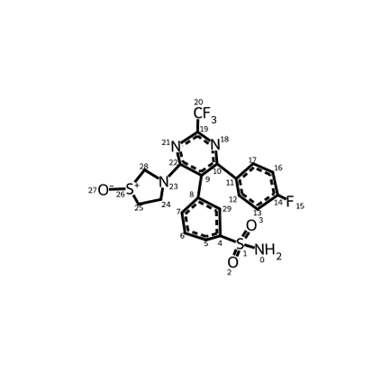 NS(=O)(=O)c1cccc(-c2c(-c3ccc(F)cc3)nc(C(F)(F)F)nc2N2CC[S+]([O-])C2)c1